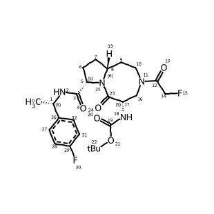 C[C@H](NC(=O)[C@@H]1CC[C@@H]2CCN(C(=O)CF)C[C@H](NC(=O)OC(C)(C)C)C(=O)N21)c1ccc(F)cc1